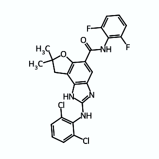 CC1(C)Cc2c(c(C(=O)Nc3c(F)cccc3F)cc3nc(Nc4c(Cl)cccc4Cl)[nH]c23)O1